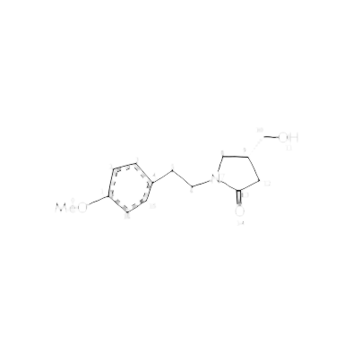 COc1ccc(CCN2C[C@H](CO)CC2=O)cc1